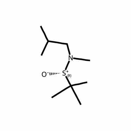 CC(C)CN(C)[S@@+]([O-])C(C)(C)C